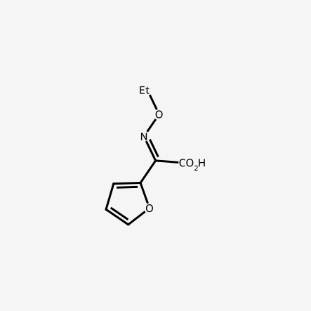 CCON=C(C(=O)O)c1ccco1